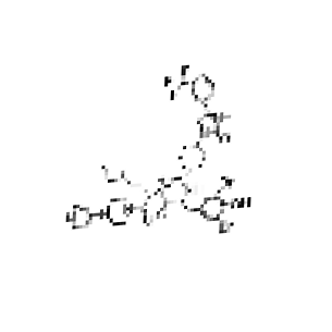 NCCCC[C@H](NC(=O)[C@H](Cc1cc(Br)c(O)c(Br)c1)NC(=O)N1CCC(n2cc(-c3cccc(C(F)(F)F)c3)[nH]c2=O)CC1)C(=O)N1CCN(c2ccncc2)CC1